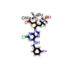 COC(=O)C1SC(n2cnc3c(NCc4cccc(I)c4)nc(Cl)nc32)C(CC(C)(C)[Si](C)(C)O)C1O[Si](C)(C)C(C)(C)C